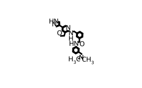 CN(C)Cc1cccc(NC(=O)c2cccc(CNc3ncc(-c4cn[nH]c4)c4c3CCO4)c2)c1